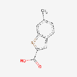 Cc1ccc2cc(C(=O)O)sc2c1